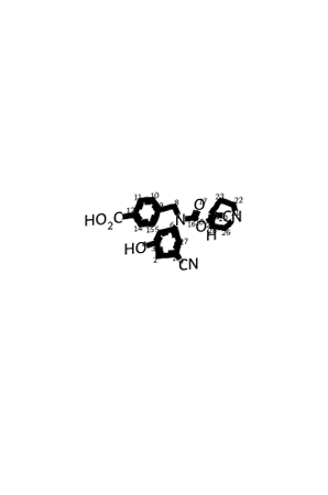 N#Cc1cc(O)cc(N(Cc2ccc(C(=O)O)cc2)C(=O)O[C@H]2CN3CCC2CC3)c1